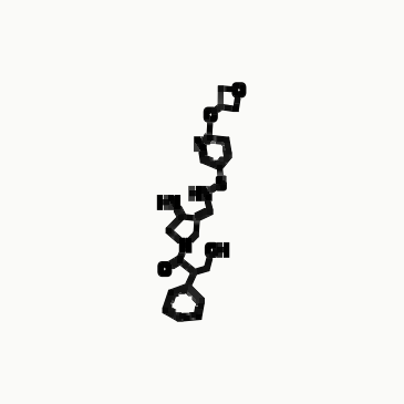 N=C1CN(C(=O)C(CO)c2ccccc2)C/C1=C/NSc1ccc(OC2COC2)nc1